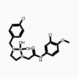 COc1ccc(NC(=O)CN2CCN(Cc3ccc(Cl)cc3)S2(O)O)cc1Cl